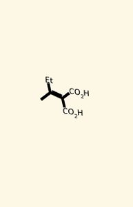 CCC(C)=C(C(=O)O)C(=O)O